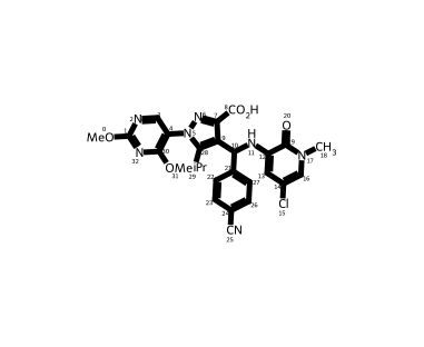 COc1ncc(-n2nc(C(=O)O)c(C(Nc3cc(Cl)cn(C)c3=O)c3ccc(C#N)cc3)c2C(C)C)c(OC)n1